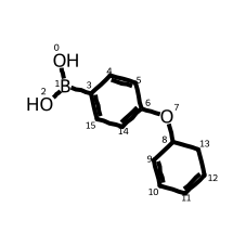 OB(O)c1ccc(OC2C=CC=CC2)cc1